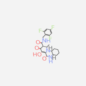 CC1C(C(=O)NCc2c(F)cc(F)cc2F)C(=O)C(O)=C2C(=O)N[C@H]3CCCC[C@@H]3N21